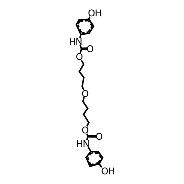 O=C(Nc1ccc(O)cc1)OCCCCOCCCCOC(=O)Nc1ccc(O)cc1